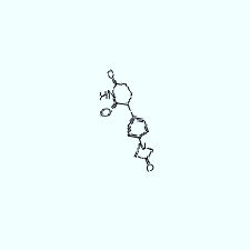 O=C1CN(c2ccc(C3CCC(=O)NC3=O)cc2)C1